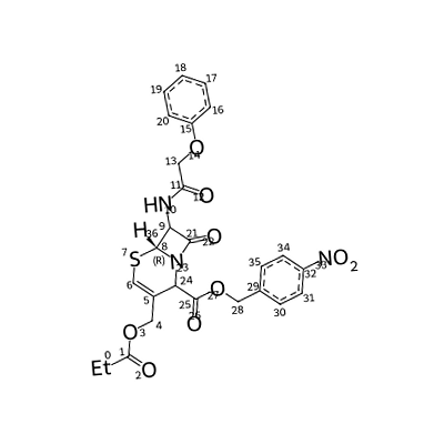 CCC(=O)OCC1=CS[C@@H]2C(NC(=O)COc3ccccc3)C(=O)N2C1C(=O)OCc1ccc([N+](=O)[O-])cc1